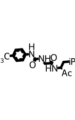 CC(=O)[C@H](CC(C)C)NC(=O)CNC(=O)Nc1ccc(C(F)(F)F)cc1